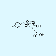 O=C(O)CCC(CP(=O)(O)OCc1ccc(I)cc1)C(=O)O